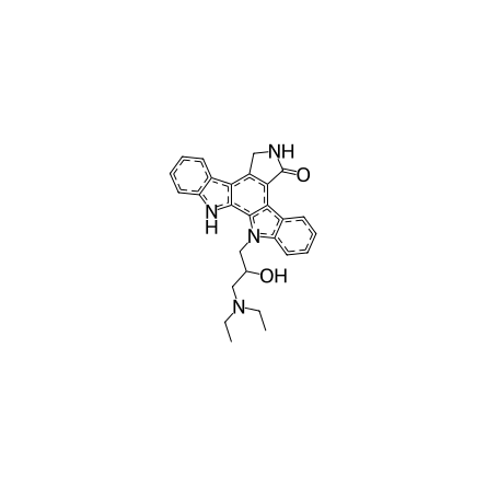 CCN(CC)CC(O)Cn1c2ccccc2c2c3c(c4c5ccccc5[nH]c4c21)CNC3=O